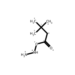 CC(C)(C)CC(=O)ONN